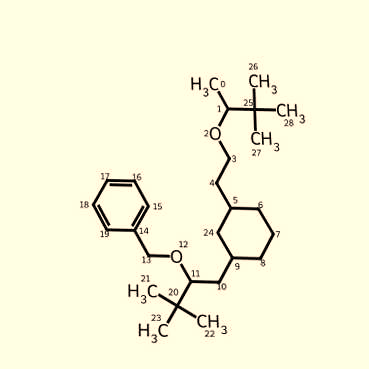 CC(OCCC1CCCC(CC(OCc2ccccc2)C(C)(C)C)C1)C(C)(C)C